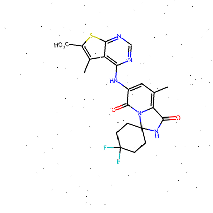 Cc1cc(Nc2ncnc3sc(C(=O)O)c(C)c23)c(=O)n2c1C(=O)NC21CCC(F)(F)CC1